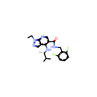 CCn1ncc2c(N[C@@H](C)C(C)C)c(C(=O)NCc3c(F)cccc3F)cnc21